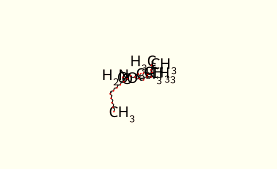 CCCCCCCC/C=C\CCCCCCCC(=O)OC(CN)COC1CC[C@@]2(C)C(=CCC3C2CC[C@@]2(C)C3CC[C@@H]2[C@H](C)CCCC(C)C)C1